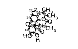 CC(OC(=O)[C@H](C)NC(=O)c1nccc(O)c1O)C(C)n1ccc2cc(Cl)ccc21